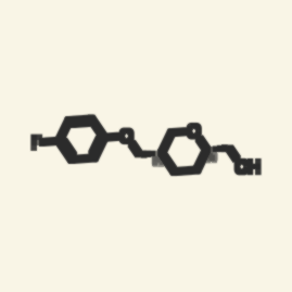 OC[C@@H]1CC[C@H](COc2ccc(F)cc2)CO1